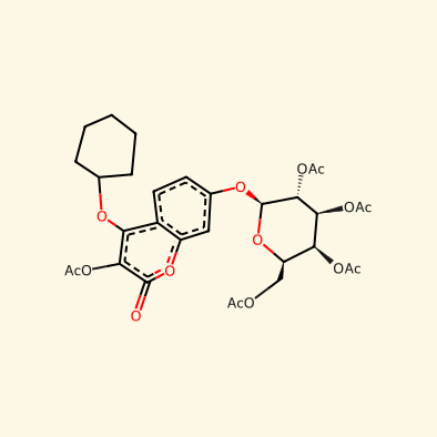 CC(=O)OC[C@H]1O[C@@H](Oc2ccc3c(OC4CCCCC4)c(OC(C)=O)c(=O)oc3c2)[C@H](OC(C)=O)[C@@H](OC(C)=O)[C@H]1OC(C)=O